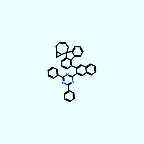 C1=CCC2(c3ccccc3-c3c(-c4cc5ccccc5cc4-c4nc(-c5ccccc5)nc(-c5ccccc5)n4)cccc32)C2CC2C1